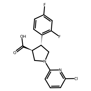 O=C(O)[C@@H]1CN(c2cccc(Cl)n2)C[C@H]1c1ccc(F)cc1F